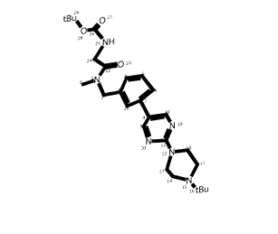 CN(Cc1cccc(-c2cnc(N3CCN(C(C)(C)C)CC3)nc2)c1)C(=O)CNC(=O)OC(C)(C)C